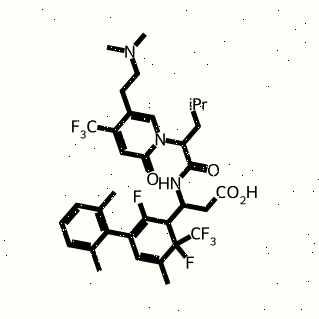 CC1=CC(c2c(C)cccc2C)=C(F)C(C(CC(=O)O)NC(=O)C(CC(C)C)n2cc(CCN(C)C)c(C(F)(F)F)cc2=O)C1(F)C(F)(F)F